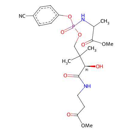 COC(=O)CCNC(=O)[C@H](O)C(C)(C)COP(=O)(NC(C)C(=O)OC)Oc1ccc(C#N)cc1